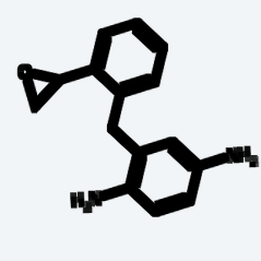 Nc1ccc(N)c(Cc2ccccc2C2CO2)c1